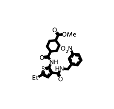 CCc1cc(C(=O)NCc2cccc([N+](=O)[O-])c2)c(NC(=O)C2CCC(C(=O)OC)CC2)s1